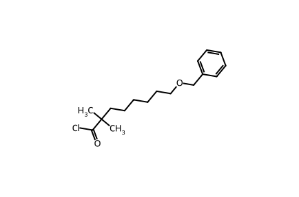 CC(C)(CCCCCCOCc1ccccc1)C(=O)Cl